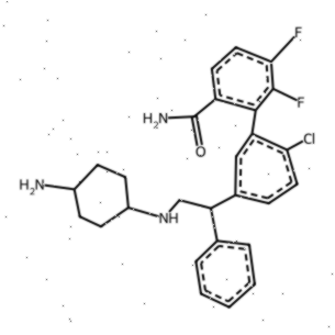 NC(=O)c1ccc(F)c(F)c1-c1cc(C(CNC2CCC(N)CC2)c2ccccc2)ccc1Cl